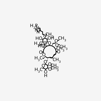 CCOC(C[C@H]1C[C@@H](C)C(=O)/C=C/C(C)=C/[C@H](COC2OC(C)C(O)C(OC)C2OC)[C@@H](CC)OC(=O)C[C@@H](O)[C@H](C)[C@H]1OC1OC(C)C(O)C(N(C)CCc2cn(P)nn2)C1O)OCC